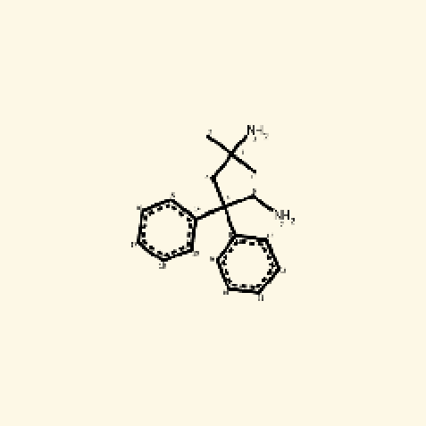 CC(C)(N)CC(CN)(c1ccccc1)c1ccccc1